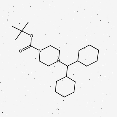 CC(C)(C)OC(=O)N1CCN(C(C2CCCCC2)C2CCCCC2)CC1